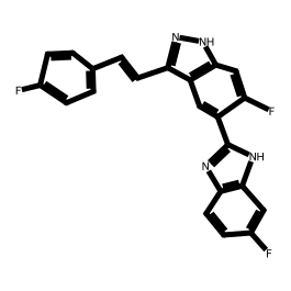 Fc1ccc(/C=C/c2n[nH]c3cc(F)c(-c4nc5ccc(F)cc5[nH]4)cc23)cc1